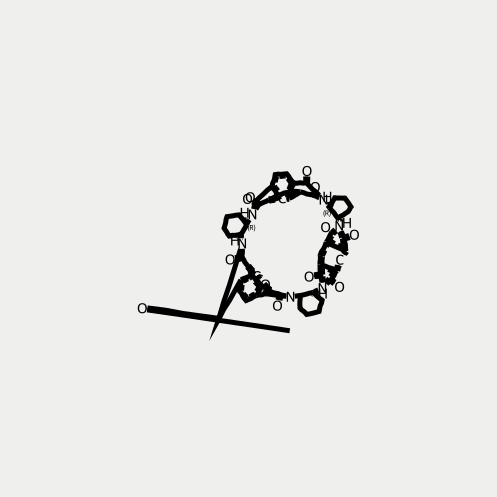 O=C1c2ccc3c4c5ccc(c24)C(=O)N1C1CCCC[C@H]1n1c(=O)c2cc4c(=O)n(c(=O)c4cc2c1=O)[C@@H]1CCCC[C@H]1N1C(=O)c2ccc4c6c(ccc(c26)C1=O)C(=O)N(C4=O)[C@@H]1CCCC[C@H]1N(C3=O)C5=O